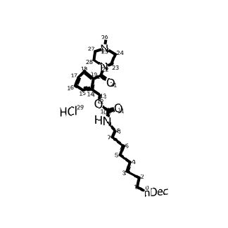 CCCCCCCCCCCCCCCCCCNC(=O)OCc1ccccc1C(=O)N1CCN(C)CC1.Cl